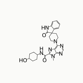 Cn1c(C(=O)NC2CCC(O)CC2)nc2c(N3CCC4(CC3)C(=O)Nc3ccccc34)ncnc21